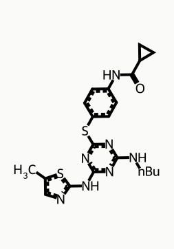 CCCCNc1nc(Nc2ncc(C)s2)nc(Sc2ccc(NC(=O)C3CC3)cc2)n1